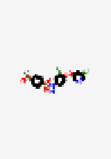 C[S+]([O-])c1ccc(S(=O)(=O)Nc2ccc(Oc3cncc(Cl)c3)c(Cl)c2)cc1